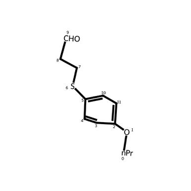 CCCOc1ccc(SCCC=O)cc1